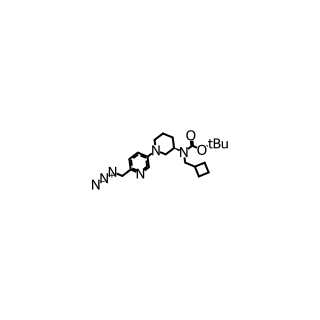 CC(C)(C)OC(=O)N(CC1CCC1)[C@@H]1CCCN(c2ccc(CN=[N+]=[N-])nc2)C1